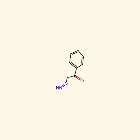 N=NCC(=O)c1ccccc1